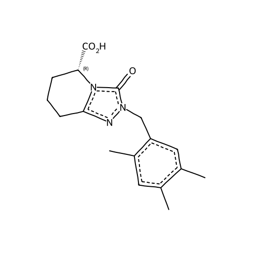 Cc1cc(C)c(Cn2nc3n(c2=O)[C@@H](C(=O)O)CCC3)cc1C